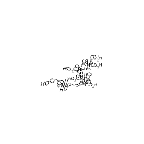 C[C@@H](Cc1ccc(O)cc1)C[C@H](C)C(=O)NNC(=O)OCCCCSSC[C@H](NC(=O)[C@H](Cc1ccccc1)NC(=O)[C@H](CC(=O)O)NC(=O)CC[C@H](NC(=O)CC[C@@H](NC(=S)N[C@H](CCC(=O)O)C(=O)O)C(=O)O)C(=O)O)C(=O)O